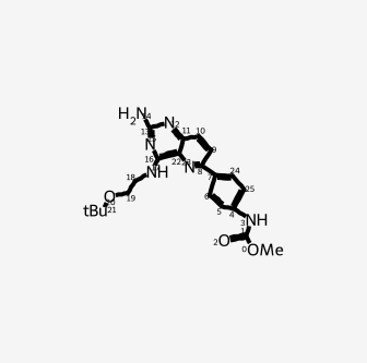 COC(=O)Nc1ccc(-c2ccc3nc(N)nc(NCCOC(C)(C)C)c3n2)cc1